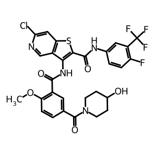 COc1ccc(C(=O)N2CCC(O)CC2)cc1C(=O)Nc1c(C(=O)Nc2ccc(F)c(C(F)(F)F)c2)sc2cc(Cl)ncc12